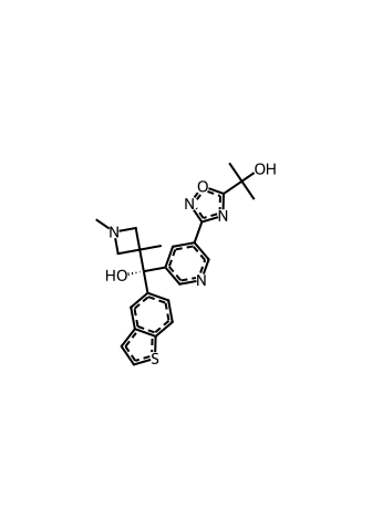 CN1CC(C)([C@@](O)(c2cncc(-c3noc(C(C)(C)O)n3)c2)c2ccc3sccc3c2)C1